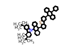 CC1c2c(n(-c3c4c(c(-c5cccc6c5sc5ccc(-c7c8ccccc8c(-c8ccccc8)c8ccccc78)cc56)c5ccccc35)CCC=C4)c3ccc(C(C)(C)C)cc23)C=CC1C(C)(C)C